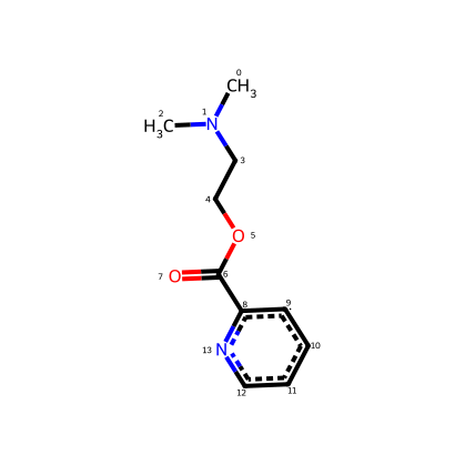 CN(C)CCOC(=O)c1[c]cccn1